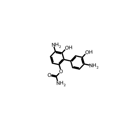 NC(=O)Oc1ccc(N)c(O)c1-c1ccc(N)c(O)c1